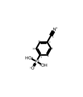 N#Cc1ccc(P(=O)(O)O)cc1